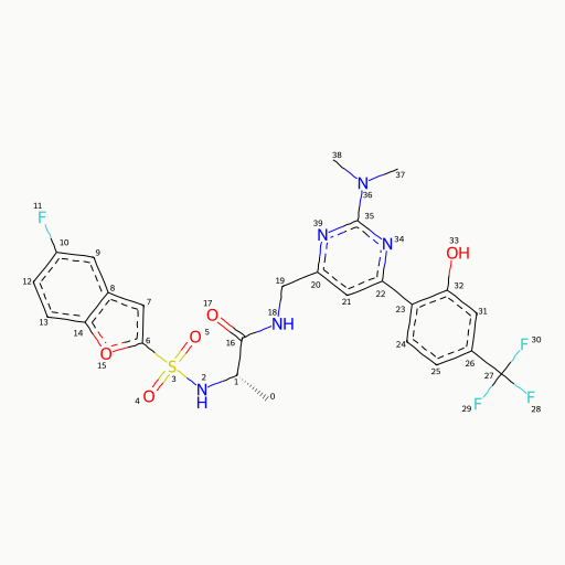 C[C@H](NS(=O)(=O)c1cc2cc(F)ccc2o1)C(=O)NCc1cc(-c2ccc(C(F)(F)F)cc2O)nc(N(C)C)n1